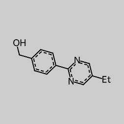 CCc1cnc(-c2ccc(CO)cc2)nc1